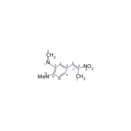 C=Nc1cc(/C=C(\C)[N+](=O)[O-])ccc1NC